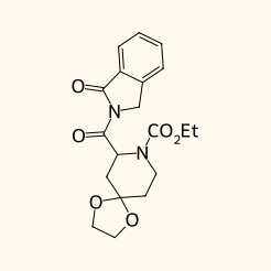 CCOC(=O)N1CCC2(CC1C(=O)N1Cc3ccccc3C1=O)OCCO2